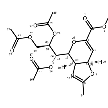 COC(=O)C1=C[C@H]2OC(C)=N[C@H]2C([C@H](OC(C)=O)[C@@H](COC(C)=O)OC(C)=O)O1